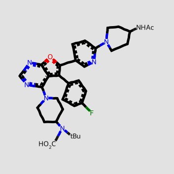 CC(=O)NC1CCN(c2ccc(-c3oc4ncnc(N5CCC(N(C(=O)O)C(C)(C)C)CC5)c4c3-c3ccc(F)cc3)cn2)CC1